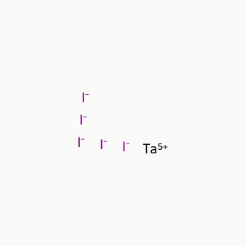 [I-].[I-].[I-].[I-].[I-].[Ta+5]